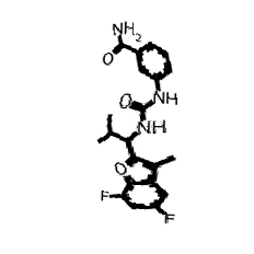 Cc1c(C(NC(=O)Nc2cccc(C(N)=O)c2)C(C)C)oc2c(F)cc(F)cc12